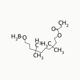 BOCCCC(C)(C)CCCC(C)(C)CCOC(=O)C=C